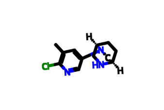 Cc1cc(N2C[C@H]3CC[C@@H]2CN3)cnc1Cl